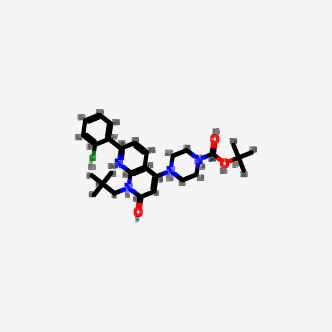 CC(C)(C)Cn1c(=O)cc(N2CCN(C(=O)OC(C)(C)C)CC2)c2ccc(-c3ccccc3F)nc21